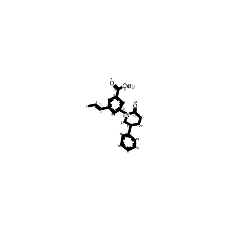 C/C=C/c1cc(C(=O)OCC(C)C)cc(N2CC(c3ccccc3)CCC2=O)c1